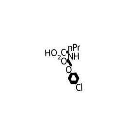 CCCC(NC(=O)COc1ccc(Cl)cc1)C(=O)O